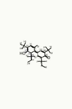 CCC(C)(C)C1=CC(=C2C(C)=CC(C(C)(C)C)=C(O)C2C(C)(C)CC)C=C(C(C)(C)C)C1=O